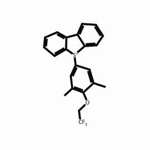 Cc1cc(-[s+]2c3ccccc3c3ccccc32)cc(C)c1OCC(F)(F)F